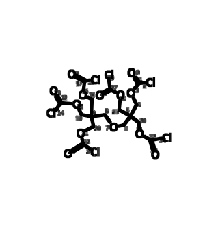 O=C(Cl)OCC(COCC(COC(=O)Cl)(COC(=O)Cl)COC(=O)Cl)(COC(=O)Cl)COC(=O)Cl